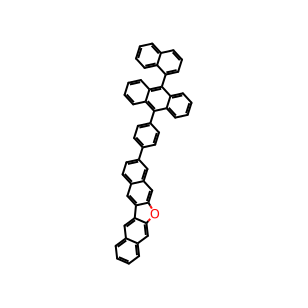 c1ccc2cc3c(cc2c1)oc1cc2cc(-c4ccc(-c5c6ccccc6c(-c6cccc7ccccc67)c6ccccc56)cc4)ccc2cc13